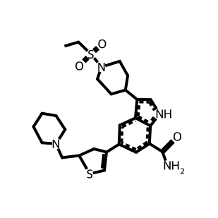 CCS(=O)(=O)N1CCC(c2c[nH]c3c(C(N)=O)cc(C4=CSC(CN5CCCCC5)C4)cc23)CC1